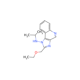 CCOCc1nc2cnc3ccccc3c2n1NC(C)C